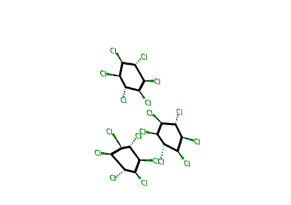 Cl[C@H]1[C@H](Cl)[C@@H](Cl)[C@@H](Cl)[C@H](Cl)[C@H]1Cl.Cl[C@H]1[C@H](Cl)[C@@H](Cl)[C@@H](Cl)[C@H](Cl)[C@H]1Cl.Cl[C@H]1[C@H](Cl)[C@@H](Cl)[C@@H](Cl)[C@H](Cl)[C@H]1Cl